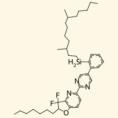 CCCCCCCC1Oc2ccc(-c3ncc(-c4ccccc4[SiH2]CCC(C)CCCCC(C)CCCCC)cn3)nc2C1(F)F